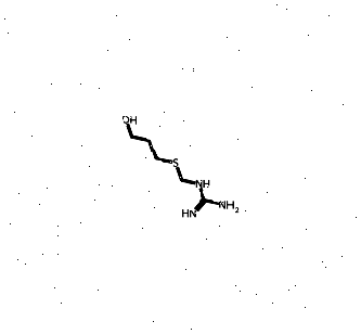 N=C(N)NCSCCCO